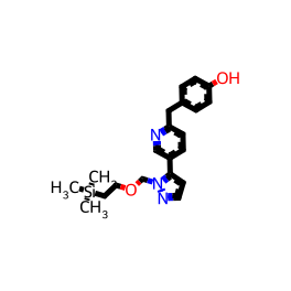 C[Si](C)(C)CCOCn1nccc1-c1ccc(Cc2ccc(O)cc2)nc1